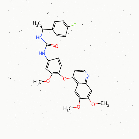 COc1cc2nccc(Oc3ccc(NC(=O)N[C@@H](C)c4ccc(F)cc4)cc3OC)c2cc1OC